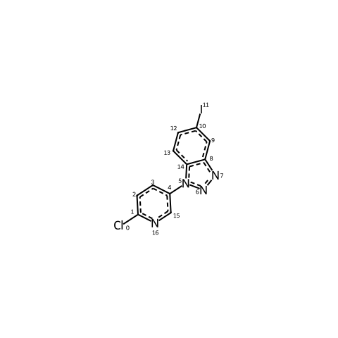 Clc1ccc(-n2nnc3cc(I)ccc32)cn1